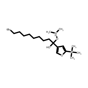 C[SiH](C)OC(O)(CCCCCCCCC(C)(C)C)c1coc([Si](C)(C)C)c1